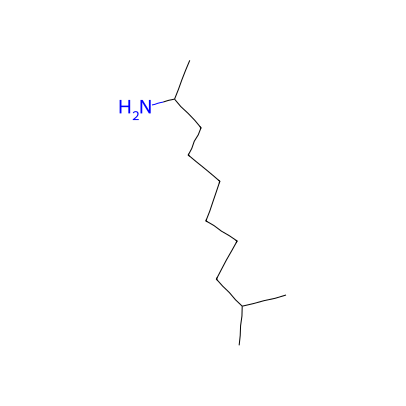 CC(C)CCCCCCC(C)N